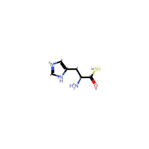 N[C@@H](Cc1cnc[nH]1)C(=O)S